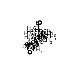 CCC(C)C(C(CC(=O)N1CCC[C@@H]1C(OC)C(C)C(=O)NC(Cc1ccccc1)C(=O)O)OC)N(C)C(=O)C(NC(=O)C(C(C)C)N(C)C(=O)OCC(SSc1ccccn1)C(C)C)C(C)C